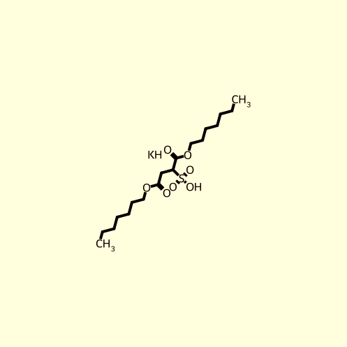 CCCCCCCOC(=O)CC(C(=O)OCCCCCCC)S(=O)(=O)O.[KH]